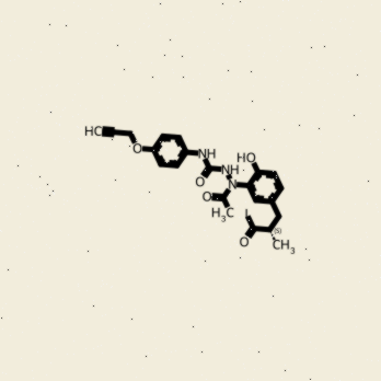 C#CCOc1ccc(NC(=O)NN(C(C)=O)c2cc(C[C@H](C)C(=O)I)ccc2O)cc1